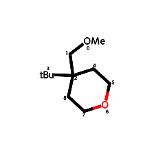 COCC1(C(C)(C)C)CCOCC1